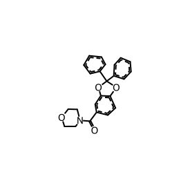 O=C(c1ccc2c(c1)OC(c1ccccc1)(c1ccccc1)O2)N1CCOCC1